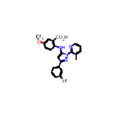 CCc1cccc(-c2cc(Nc3ccc(OC(F)(F)F)cc3C(=O)O)n(-c3ncccc3C)n2)c1